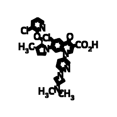 C[C@H]1CCN(c2cc3c(cc2Cl)c(=O)c(C(=O)O)cn3-c2ccc(N3CC(N(C)C)C3)nc2)[C@H]1COc1ncccc1Cl